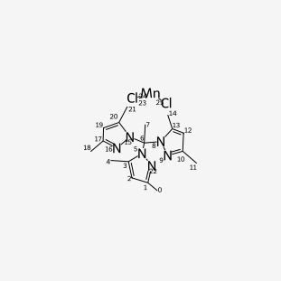 Cc1cc(C)n(C(C)(n2nc(C)cc2C)n2nc(C)cc2C)n1.[Cl][Mn][Cl]